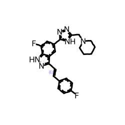 Fc1ccc(/C=C/c2n[nH]c3c(F)cc(-c4nnc(CN5CCCCC5)[nH]4)cc23)cc1